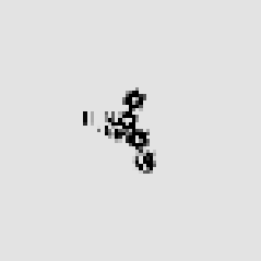 NC(=O)c1cc(-c2ccccc2)cc2c1[nH]c1cc(N3CCOCC3)ccc12